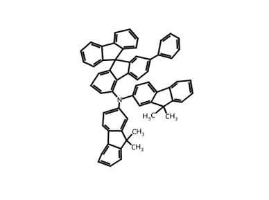 CC1(C)c2ccccc2-c2ccc(N(c3ccc4c(c3)C(C)(C)c3ccccc3-4)c3cccc4c3-c3ccc(-c5ccccc5)cc3C43c4ccccc4-c4ccccc43)cc21